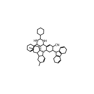 CC1C=CC2C(C1)C1CC(C)CCC1N2C1CC(n2c3c(c4c2CCC=C4)CCC=C3)C(C#N)C=C1C1NC(C2C=CCCC2)NC(C2CCCCC2)N1